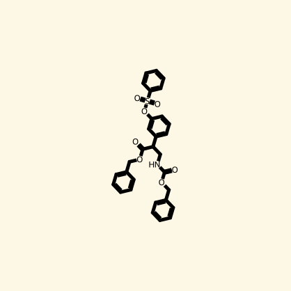 O=C(NCC(C(=O)OCc1ccccc1)c1cccc(OS(=O)(=O)c2ccccc2)c1)OCc1ccccc1